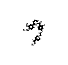 CCOc1cc(C2=NN(C(=O)c3ccc(OCCN4CCC(C(=O)OC(C)(C)C)CC4)cc3Cl)CCC2)ccc1OC